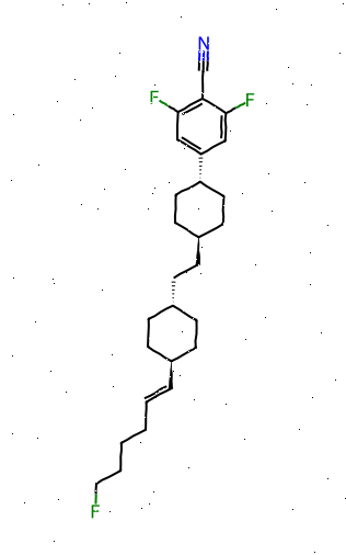 N#Cc1c(F)cc([C@H]2CC[C@H](CC[C@H]3CC[C@H](/C=C/CCCCF)CC3)CC2)cc1F